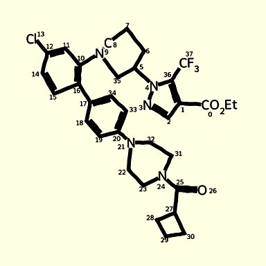 CCOC(=O)c1cnn(C2CCCN(c3cc(Cl)ccc3-c3ccc(N4CCN(C(=O)C5CCC5)CC4)cc3)C2)c1C(F)(F)F